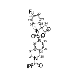 CC(C)C(=O)N1CCc2cc(S(=O)(=O)N(C)C3(c4ccc(F)cc4)COC3)ccc2C1